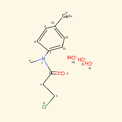 CN(C(=O)CCCl)c1cc[c]([Ge+3])cc1.[OH-].[OH-].[OH-]